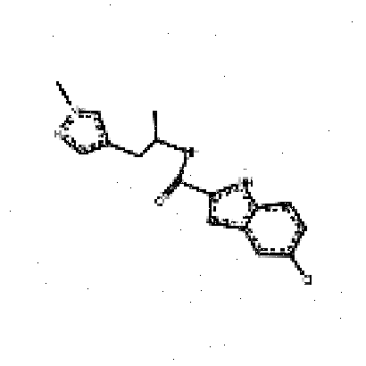 CC(Cc1cnn(C)c1)NC(=O)c1cc2cc(Cl)ccc2[nH]1